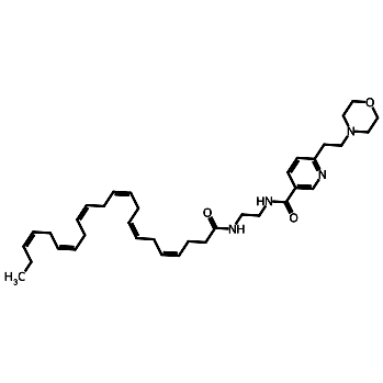 CC/C=C\C/C=C\C/C=C\C/C=C\C/C=C\C/C=C\CCC(=O)NCCNC(=O)c1ccc(CCN2CCOCC2)nc1